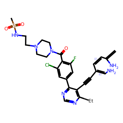 C=C(N)/C=C\C(C#Cc1c(CC)ncnc1-c1cc(F)c(C(=O)N2CCN(CCNS(C)(=O)=O)CC2)c(Cl)c1)=C/N